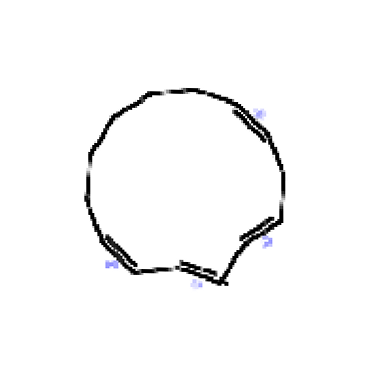 [C]1=C/C=C\CCCCC/C=C\C/C=C/1